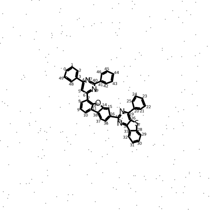 c1ccc(-c2cc(-c3cccc4c3oc3cc(-c5nc(-c6ccccc6)c6sc7ccccc7c6n5)ccc34)nc(-c3ccccc3)n2)cc1